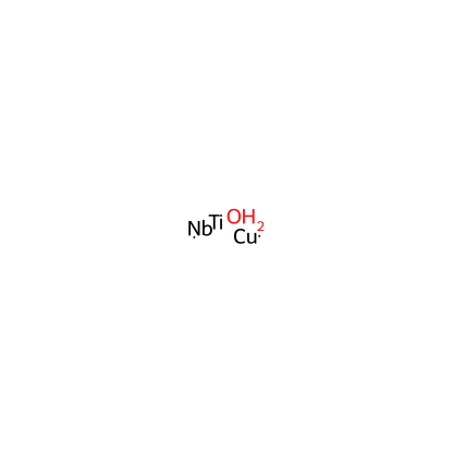 O.[Cu].[Nb].[Ti]